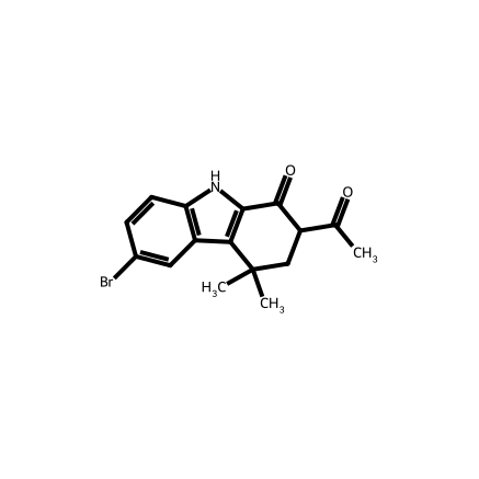 CC(=O)C1CC(C)(C)c2c([nH]c3ccc(Br)cc23)C1=O